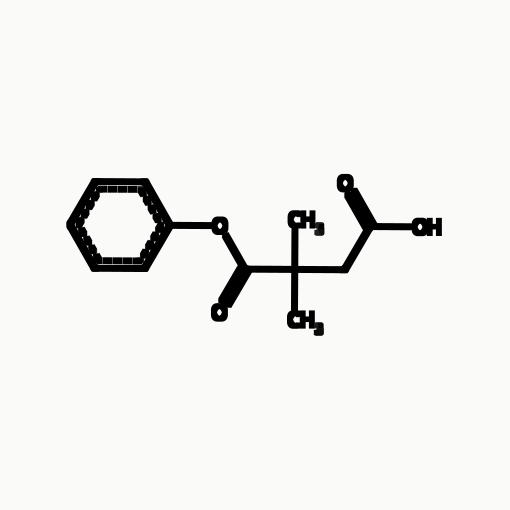 CC(C)(CC(=O)O)C(=O)Oc1ccccc1